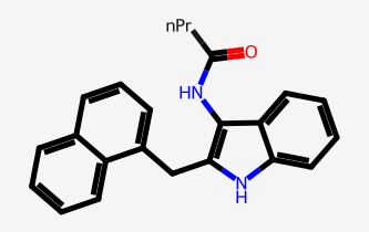 CCCC(=O)Nc1c(Cc2cccc3ccccc23)[nH]c2ccccc12